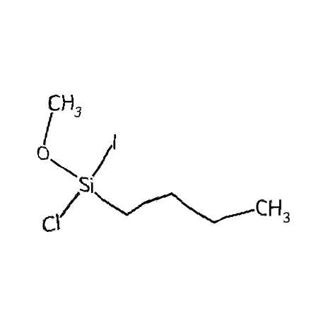 CCCC[Si](Cl)(I)OC